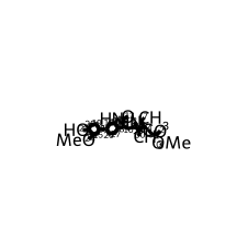 COC(=O)CCc1c(C)[nH]c(/C=C2\C(=O)Nc3cc(-c4ccc(O)c(OC)c4)ccc32)c1C